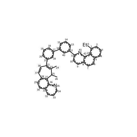 CCc1cccc2ccc3ccc(-c4cccc(-c5cccc(C6=C(C)C(C)c7c(ccc8cccnc78)C=C6)c5)c4)nc3c12